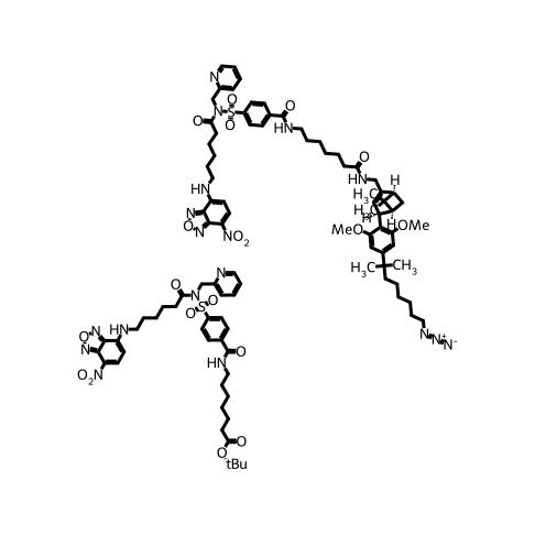 CC(C)(C)OC(=O)CCCCCCNC(=O)c1ccc(S(=O)(=O)N(Cc2ccccn2)C(=O)CCCCCNc2ccc([N+](=O)[O-])c3nonc23)cc1.COc1cc(C(C)(C)CCCCCCN=[N+]=[N-])cc(OC)c1[C@H]1C=C(CNC(=O)CCCCCCNC(=O)c2ccc(S(=O)(=O)N(Cc3ccccn3)C(=O)CCCCCNc3ccc([N+](=O)[O-])c4nonc34)cc2)[C@H]2C[C@@H]1C2(C)C